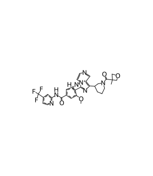 COc1cc(C(=O)Nc2cc(C(F)(F)F)ccn2)ccc1C1=NC(C2CCCN(C(=O)C3(C)COC3)C2)=C2C=NC=C[N+]12N